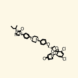 CCC(C)n1ncn(-c2ccc(N3CCN(c4ccc(OC[C@@H]5CO[C@@](Cn6ccc(=O)cc6)(C6(C)CC=C(Cl)C=C6Cl)O5)cc4)CC3)cc2)c1=O